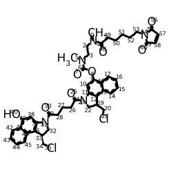 CN(CCN(C)C(=O)Oc1cc2c(c3ccccc13)C(CCl)CN2C(=O)CCCC(=O)N1C[C@@H](CCl)c2c1cc(O)c1ccccc21)C(=O)CCCCCN1C(=O)C=CC1=O